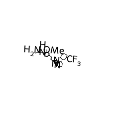 COc1cc(/C=C/c2nc3n(n2)CCC[C@H]3C2CCCCC(C(F)(F)F)C2)ccc1N/C=C(/C)N